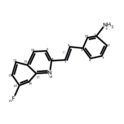 Nc1cccc(/C=C/c2ccc3ccc(F)cc3n2)c1